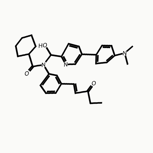 CCC(=O)/C=C/c1cccc(N(C(=O)C2CCCCC2)C(O)c2ccc(-c3ccc(N(C)C)cc3)cn2)c1